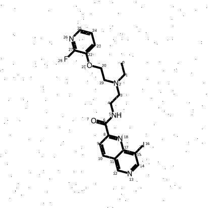 CCN(CCNC(=O)c1ccc2cncc(I)c2n1)CCOc1cccnc1F